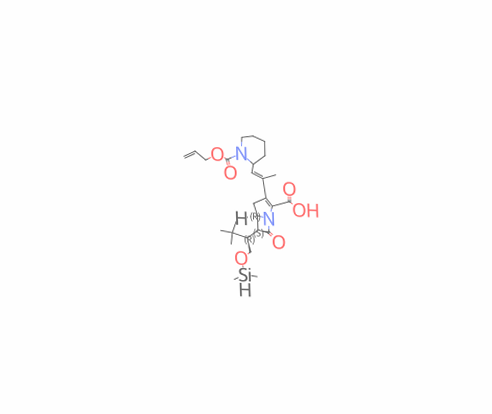 C=CCOC(=O)N1CCCCC1C=C(C)C1=C(C(=O)O)N2C(=O)[C@@H]([C@@H](CO[SiH](C)C)C(C)(C)C)[C@H]2C1